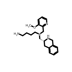 COc1cccnc1CN(CCCCN)C[C@H]1Cc2ccccc2CN1